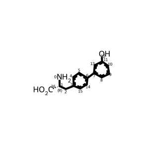 N[C@H](Cc1ccc(-c2cccc(O)c2)cc1)C(=O)O